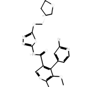 COc1c(C)ncc(C(=O)Nc2nnc(OC[C@@H]3CCOC3)s2)c1-c1ccnc(Br)c1